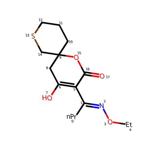 CCCC(=NOCC)C1=C(O)CC2(CCCSC2)OC1=O